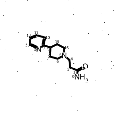 NC(=O)CCN1CCC(c2ccccn2)CC1